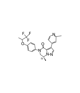 Cc1cc(-c2cnn3c2C(=O)N(c2ccc(OC(C)C(F)(F)F)cc2)C[C@@H]3C)ccn1